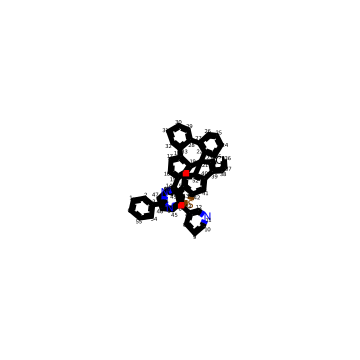 c1ccc(-c2nc(-c3cccnc3)cc(-c3ccc4c(c3)C3(c5ccccc5-c5ccccc5-4)c4ccccc4-c4cc5sc6ccccc6c5cc43)n2)cc1